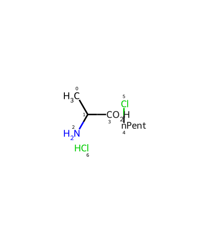 CC(N)C(=O)O.CCCCCCl.Cl